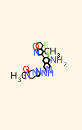 Cc1c(-c2cc3cc(Nc4cc5n(n4)CC(=O)N(C)CC5)ncc3c(N)c2F)cnc2c1C(F)CCO2